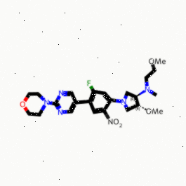 COCCN(C)[C@@H]1CN(c2cc(F)c(-c3cnc(N4CCOCC4)nc3)cc2[N+](=O)[O-])C[C@H]1OC